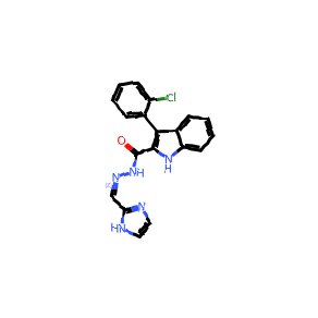 O=C(N/N=C\c1ncc[nH]1)c1[nH]c2ccccc2c1-c1ccccc1Cl